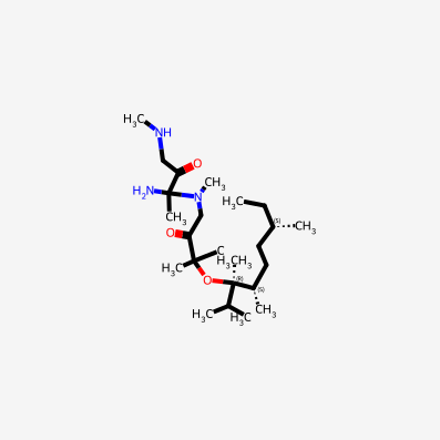 CC[C@H](C)CC[C@H](C)[C@](C)(OC(C)(C)C(=O)CN(C)C(C)(N)C(=O)CNC)C(C)C